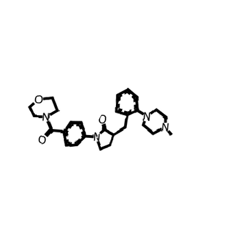 CN1CCN(c2ccccc2CC2CCN(c3ccc(C(=O)N4CCOCC4)cc3)C2=O)CC1